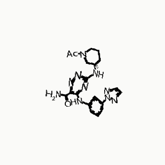 CC(=O)N1CCC[C@@H](Nc2nnc(C(N)=O)c(Nc3cccc(-n4nccn4)c3)n2)C1